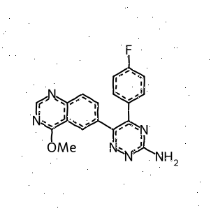 COc1ncnc2ccc(-c3nnc(N)nc3-c3ccc(F)cc3)cc12